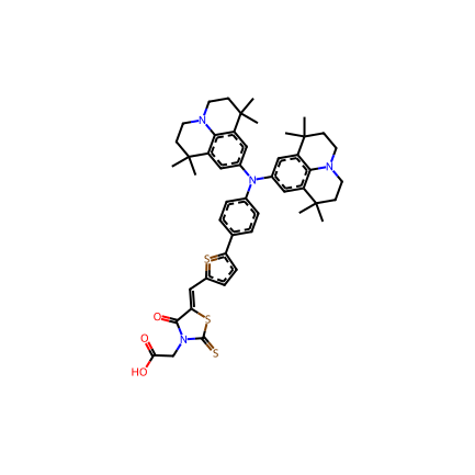 CC1(C)CCN2CCC(C)(C)c3cc(N(c4ccc(-c5ccc(/C=C6\SC(=S)N(CC(=O)O)C6=O)s5)cc4)c4cc5c6c(c4)C(C)(C)CCN6CCC5(C)C)cc1c32